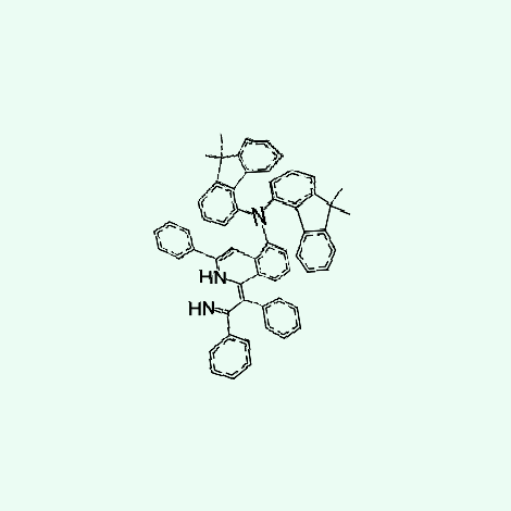 CC1(C)c2ccccc2-c2c(N(c3cccc4c3C=C(c3ccccc3)N/C4=C(\C(=N)c3ccccc3)c3ccccc3)c3cccc4c3-c3ccccc3C4(C)C)cccc21